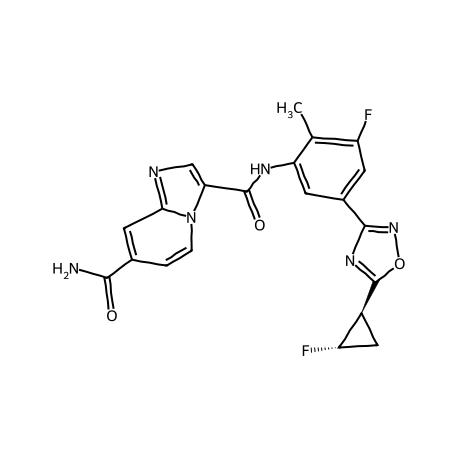 Cc1c(F)cc(-c2noc([C@H]3C[C@@H]3F)n2)cc1NC(=O)c1cnc2cc(C(N)=O)ccn12